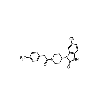 N#Cc1ccc2[nH]c(=O)n(C3CCN(C(=O)Cc4ccc(C(F)(F)F)cc4)CC3)c2c1